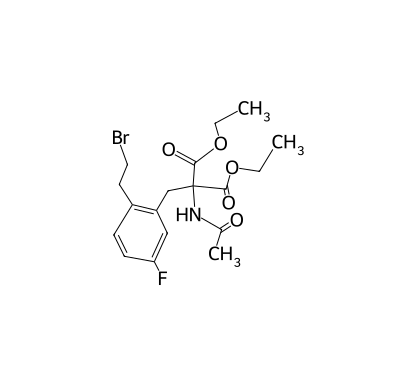 CCOC(=O)C(Cc1cc(F)ccc1CCBr)(NC(C)=O)C(=O)OCC